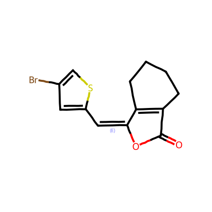 O=C1O/C(=C/c2cc(Br)cs2)C2=C1CCCC2